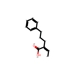 CC=C(CCCc1ccccc1)C(=O)O